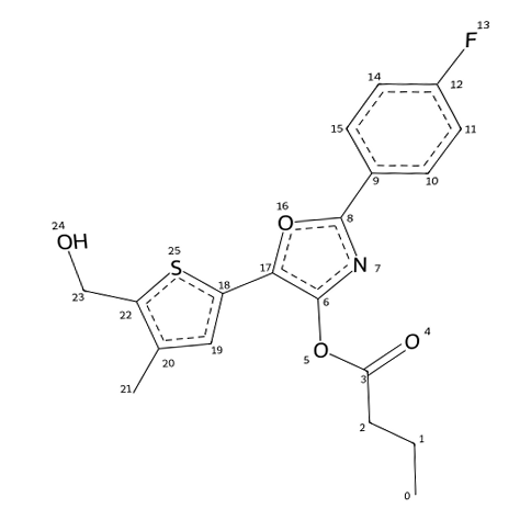 CCCC(=O)Oc1nc(-c2ccc(F)cc2)oc1-c1cc(C)c(CO)s1